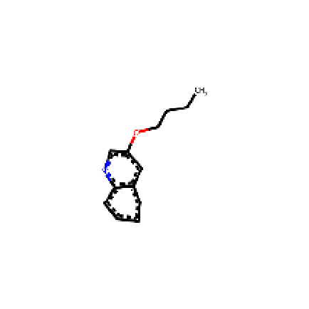 CCCCOc1[c]nc2ccccc2c1